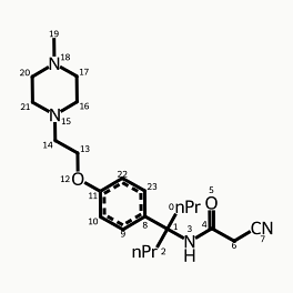 CCCC(CCC)(NC(=O)CC#N)c1ccc(OCCN2CCN(C)CC2)cc1